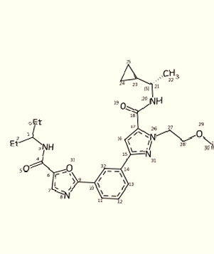 CCC(CC)NC(=O)c1cnc(-c2cccc(-c3cc(C(=O)N[C@@H](C)C4CC4)n(CCOC(C)C)n3)c2)o1